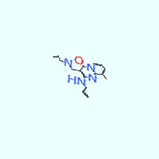 C=CCN=Cc1c(NCC=C)nc2c(C)cccn2c1=O